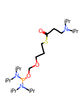 CC(C)N(CCC(=O)SCCCOCOP(N(C(C)C)C(C)C)N(C(C)C)C(C)C)C(C)C